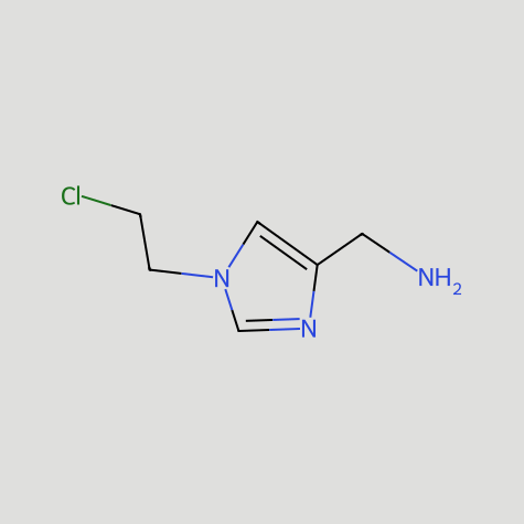 NCc1cn(CCCl)cn1